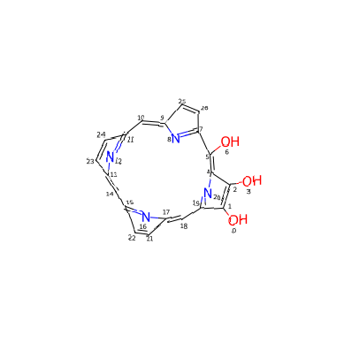 OC1=C(O)C2=C(O)C3=NC(=CC4=NC(=CC5=NC(=CC1=N2)C=C5)C=C4)C=C3